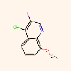 COc1cccc2c(Cl)c(I)cnc12